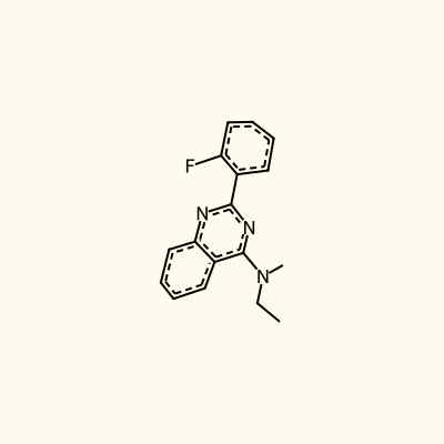 CCN(C)c1nc(-c2ccccc2F)nc2ccccc12